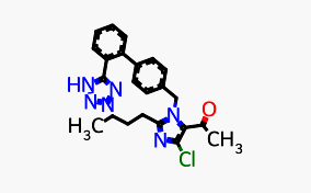 CCCCc1nc(Cl)c(C(C)=O)n1Cc1ccc(-c2ccccc2-c2nnn[nH]2)cc1